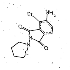 CCc1c(N)ccc2c1C(=O)N(N1CCCCC1)C2=O